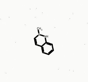 CB1C=Cc2ccccc2N1